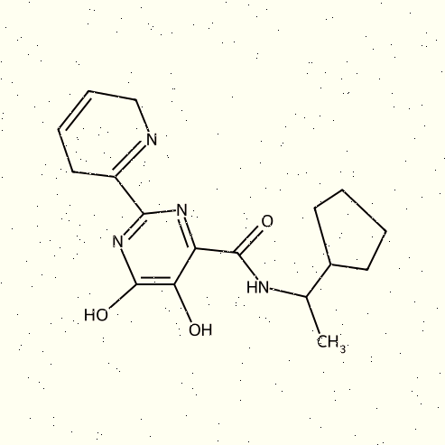 CC(NC(=O)c1nc(C2=NCC=CC2)nc(O)c1O)C1CCCC1